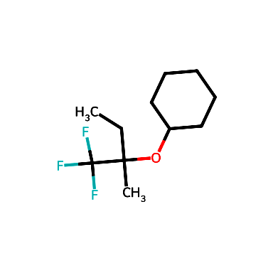 CCC(C)(OC1CCCCC1)C(F)(F)F